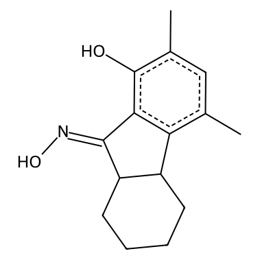 Cc1cc(C)c2c(c1O)/C(=N/O)C1CCCCC21